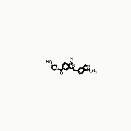 Cn1ncc2cc(Cc3n[nH]c4ccc(C(=O)N5CC[C@@H](O)C5)cc34)ccc21